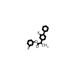 CC(C(=O)Oc1cccc(F)c1)c1ccc(-c2ccccc2)c(F)c1